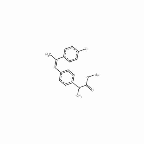 CC(=Nc1ccc(N(C)C(=O)OC(C)(C)C)cc1)c1ccc(Cl)cc1